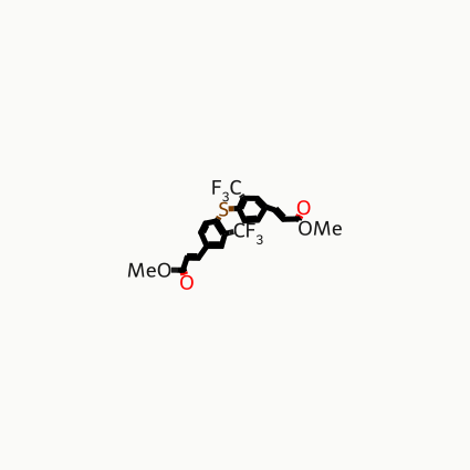 COC(=O)/C=C/c1ccc(Sc2ccc(/C=C/C(=O)OC)cc2C(F)(F)F)c(C(F)(F)F)c1